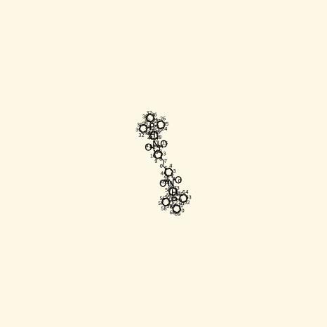 O=C1c2ccc(CCc3ccc4c(c3)C(=O)N(c3ccc([PH](c5ccccc5)(c5ccccc5)c5ccccc5)cc3)C4=O)cc2C(=O)N1c1ccc([PH](c2ccccc2)(c2ccccc2)c2ccccc2)cc1